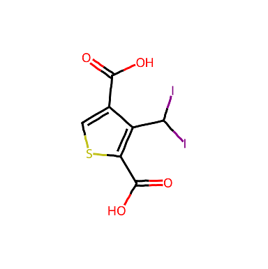 O=C(O)c1csc(C(=O)O)c1C(I)I